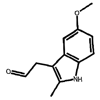 COc1ccc2[nH]c(C)c(CC=O)c2c1